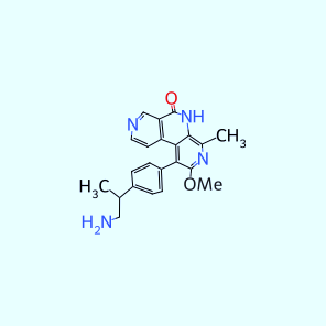 COc1nc(C)c2[nH]c(=O)c3cnccc3c2c1-c1ccc(C(C)CN)cc1